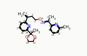 C=C(CCON=C(C)c1cccc(C)n1)c1cccc(C2(C)OCCO2)n1